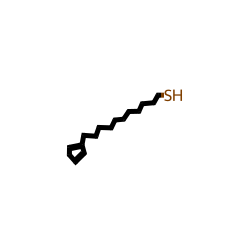 SCCCCCCCCCCCC1=CCC=C1